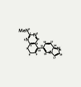 CNc1ncc2c(n1)CCC=C2c1ccc2nccn2c1